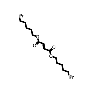 CC(C)CCCCCOC(=O)/C=C/C(=O)OCCCCCC(C)C